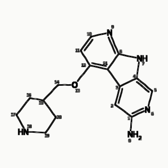 Nc1cc2c(cn1)[nH]c1nccc(OCC3CCNCC3)c12